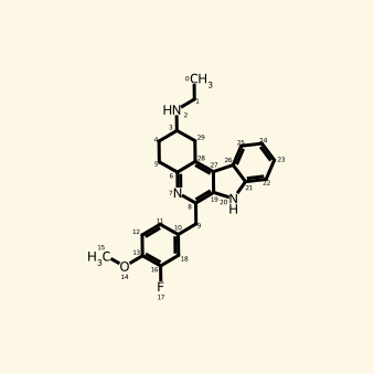 CCNC1CCc2nc(Cc3ccc(OC)c(F)c3)c3[nH]c4ccccc4c3c2C1